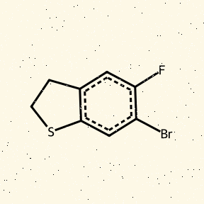 Fc1cc2c(cc1Br)SCC2